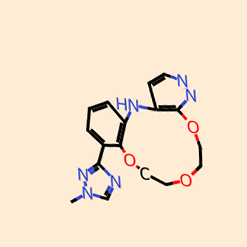 Cn1cnc(-c2cccc3c2OCCOCCOc2nnccc2N3)n1